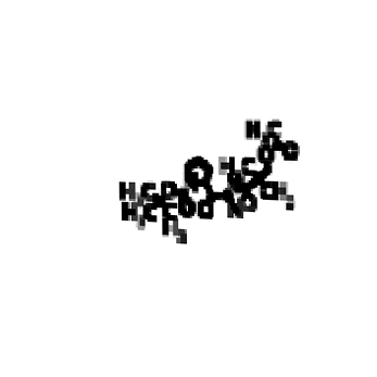 CC(=O)OCC(C)(C)c1nc(C(=O)[C@@H]2CCCN2C(=O)OC(C)(C)C)no1